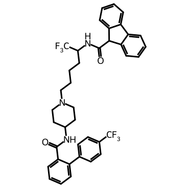 O=C(NC1CCN(CCCCC(NC(=O)C2c3ccccc3-c3ccccc32)C(F)(F)F)CC1)c1ccccc1-c1ccc(C(F)(F)F)cc1